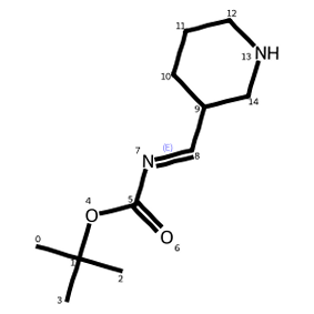 CC(C)(C)OC(=O)/N=C/C1CCCNC1